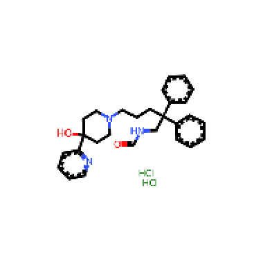 Cl.Cl.O=CNCC(CCCN1CCC(O)(c2ccccn2)CC1)(c1ccccc1)c1ccccc1